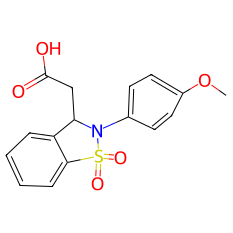 COc1ccc(N2C(CC(=O)O)c3ccccc3S2(=O)=O)cc1